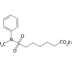 CCOC(=O)CCCCCS(=O)(=O)N(C)c1ccccc1